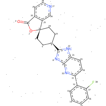 O=C1O[C@]2(CC[C@H](c3nc4nc(-c5ccccc5F)ccc4[nH]3)CC2)c2cnccc21